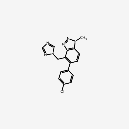 Cn1nnc2c(Cn3cncn3)c(-c3ccc(Cl)cc3)ccc21